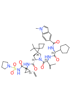 C=C[C@@H]1C[C@]1(NC(=O)[C@@H]1C[C@@]2(CN1C(=O)[C@@H](NC(=O)[C@@H](NC(=O)c1ccc3c(ccn3C)c1)C1CCCCC1)C(=C)C)C(C)(C)C21CCC1)C(=O)NS(=O)(=O)N1CCCC1